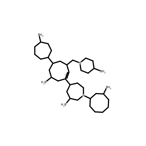 BC1CCCC(C2CC(B)C/C(C3CCN(C4CCCCCC(B)C4)CC(B)C3)=C\C(CN3CCC(B)CC3)C2)CC1